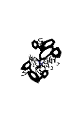 CC1c2ccccc2-c2ccc3sc4ccccc4c3c2CC1/C(CC#N)=C(\C#N)C(C)(C)Cn1c2ccccc2c2ccc3sc4ccccc4c3c21